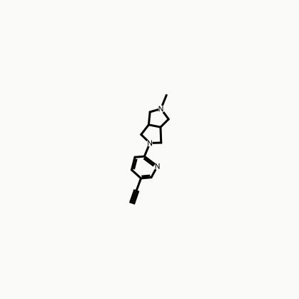 C#Cc1ccc(N2CC3CN(C)CC3C2)nc1